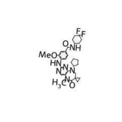 COc1cc(C(=O)NC2CCC(F)(F)CC2)ccc1Nc1ncc2c(n1)N(C1CCCC1)CC1(CC1)C(=O)N2C